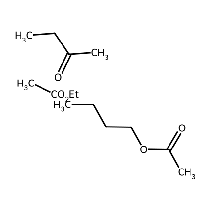 CCC(C)=O.CCCCOC(C)=O.CCOC(C)=O